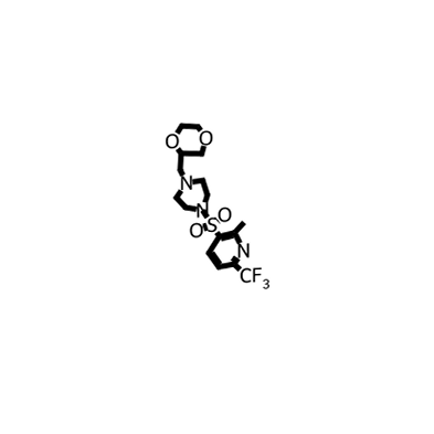 Cc1nc(C(F)(F)F)ccc1S(=O)(=O)N1CCN(CC2COCCO2)CC1